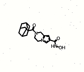 O=C(NO)c1cc2n(c1)CCN(C(=O)C13CC4CC(CC(C4)C1)C3)C2